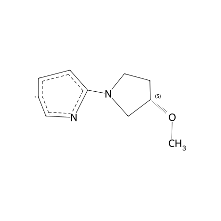 CO[C@H]1CCN(c2cc[c]cn2)C1